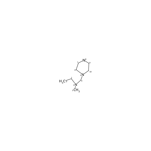 CCN(C)CN1CC[N]CC1